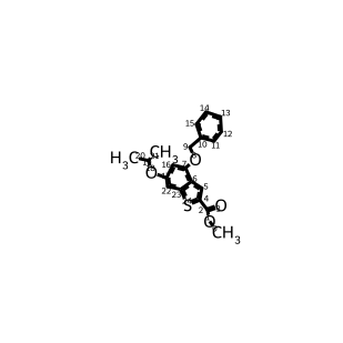 COC(=O)c1cc2c(OCc3ccccc3)cc(OC(C)C)cc2s1